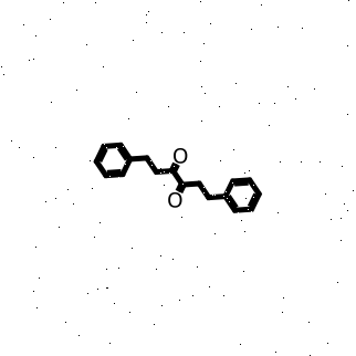 O=C(CCc1ccccc1)C(=O)CCc1ccccc1